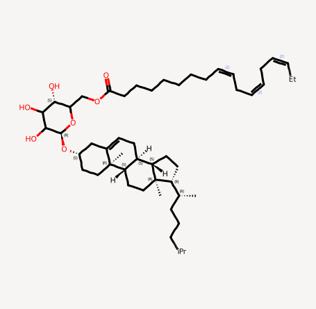 CC/C=C\C/C=C\C/C=C\CCCCCCCC(=O)OCC1O[C@@H](O[C@H]2CC[C@@]3(C)C(=CC[C@H]4[C@@H]5CC[C@H]([C@H](C)CCCC(C)C)[C@@]5(C)CC[C@@H]43)C2)C(O)C(O)[C@@H]1O